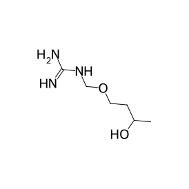 CC(O)CCOCNC(=N)N